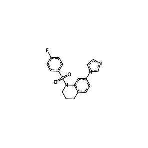 O=S(=O)(c1ccc(F)cc1)N1CCCc2ccc(-n3ccnc3)cc21